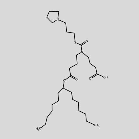 CCCCCCCC(CCCCCCC)OC(=O)CCCN(CCCC(=O)O)C(=O)SCCCN1CCCC1